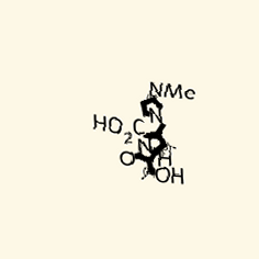 CN[C@H]1CCN(CC2=C(C(=O)O)N3C(=O)C([C@@H](C)O)[C@H]3[C@H]2C)C1